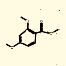 [CH2]OC(=O)c1ccc(OC)cc1OC